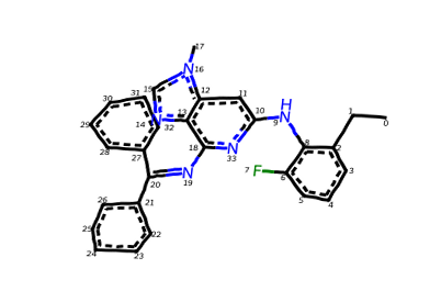 CCc1cccc(F)c1Nc1cc2c(ncn2C)c(N=C(c2ccccc2)c2ccccc2)n1